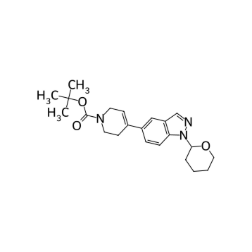 CC(C)(C)OC(=O)N1CC=C(c2ccc3c(cnn3C3CCCCO3)c2)CC1